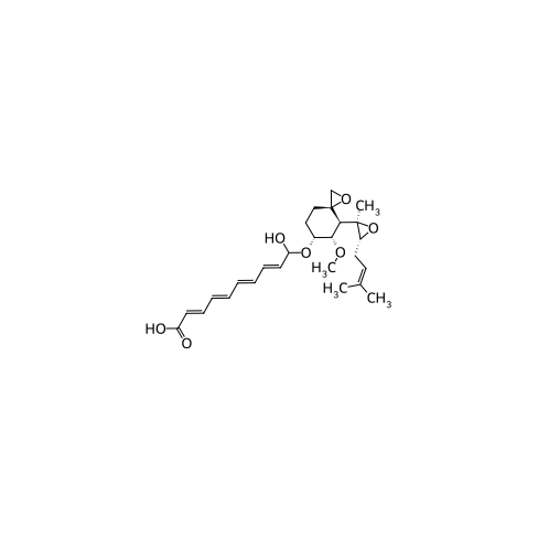 CO[C@@H]1[C@H](OC(O)/C=C/C=C/C=C/C=C/C(=O)O)CC[C@]2(CO2)[C@H]1[C@@]1(C)O[C@@H]1CC=C(C)C